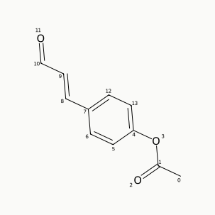 CC(=O)Oc1ccc(C=CC=O)cc1